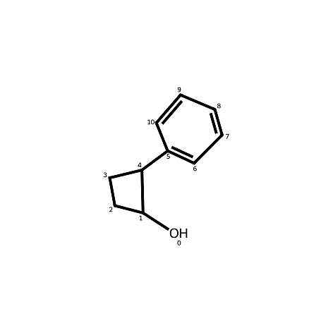 OC1CCC1c1ccccc1